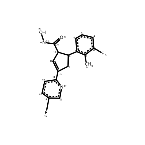 Cc1c(F)cccc1C1CC(c2ccc(F)cn2)=CC1C(=O)NO